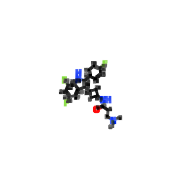 CN(C)CCC(=O)NC1CC(c2c(-c3ccc(F)cc3)[nH]c3c(F)cc(F)cc23)C1